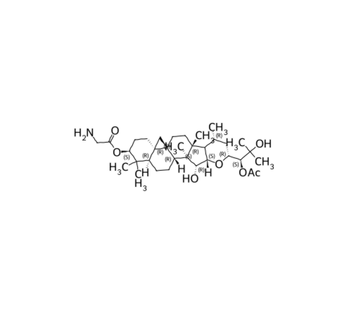 CC(=O)O[C@@H]([C@H]1C[C@@H](C)C2[C@H](O1)[C@H](O)[C@@]1(C)[C@@H]3CC[C@H]4C(C)(C)[C@@H](OC(=O)CN)CC[C@@]45C[C@@]35CC[C@]21C)C(C)(C)O